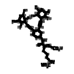 O=C(O)NCCCC(NC(=O)O)C(=O)Nc1ccc(C#Cc2c(F)c(F)nc(F)c2F)c(C#Cc2c(F)c(F)nc(F)c2F)c1